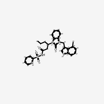 CCCC(CC(=O)NS(=O)(=O)c1ccccn1)n1c(=O)n(Cc2csc3cccc(C)c23)c2ccccc21